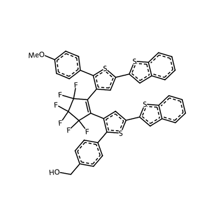 COc1ccc(-c2sc(-c3cc4ccccc4s3)cc2C2=C(c3cc(-c4cc5ccccc5s4)sc3-c3ccc(CO)cc3)C(F)(F)C(F)(F)C2(F)F)cc1